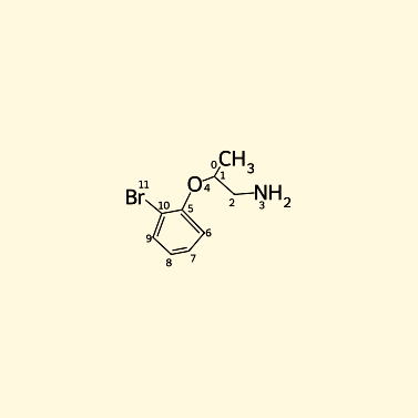 CC(CN)Oc1ccccc1Br